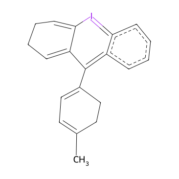 CC1=CC=C(C2=c3ccccc3=IC3=CCCC=C32)CC1